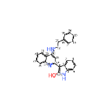 Oc1[nH]c2ccccc2c1-c1cc(NCCc2ccccc2)c2ccccc2n1